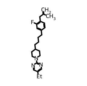 C=C(C)Cc1ccc(CCCCC2CCN(c3ncc(CC)cn3)CC2)cc1F